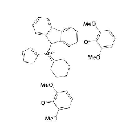 C1=CC[C]([Zr+2](=[C]2CCCCC2)[CH]2c3ccccc3-c3ccccc32)=C1.COc1cccc(OC)c1[O-].COc1cccc(OC)c1[O-]